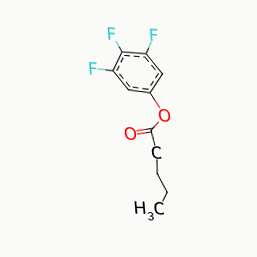 CCCCC(=O)Oc1cc(F)c(F)c(F)c1